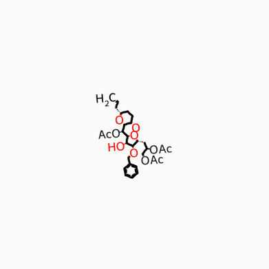 C=CC[C@@H]1CCC(=O)[C@@H]([C@@H](OC(C)=O)[C@@H]2O[C@H](C[C@H](COC(C)=O)OC(C)=O)[C@H](OCc3ccccc3)[C@@H]2O)O1